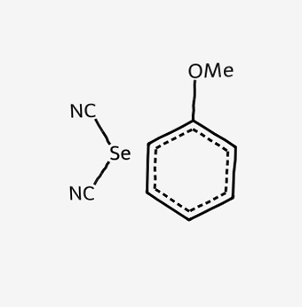 COc1ccccc1.N#C[Se]C#N